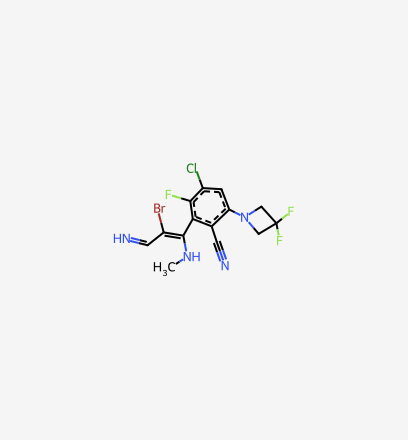 CN/C(=C(/Br)C=N)c1c(F)c(Cl)cc(N2CC(F)(F)C2)c1C#N